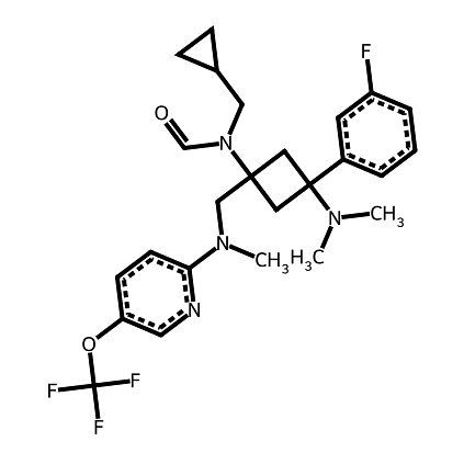 CN(CC1(N(C=O)CC2CC2)CC(c2cccc(F)c2)(N(C)C)C1)c1ccc(OC(F)(F)F)cn1